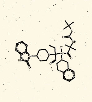 CCC(C=O)(N1CCC(n2c(=O)[nH]c3ccccc32)CC1)[N+]([O-])(C(=O)C(C)(C)NC(=O)OC(C)(C)C)N1CCc2ccccc2C1